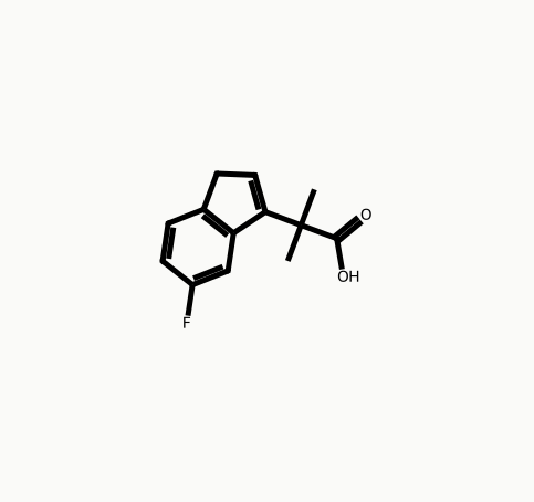 CC(C)(C(=O)O)C1=CCc2ccc(F)cc21